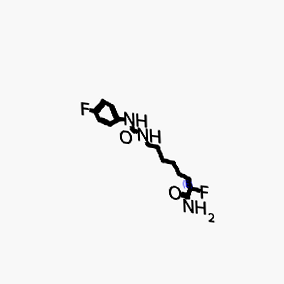 NC(=O)/C(F)=C\CCCCCNC(=O)Nc1ccc(F)cc1